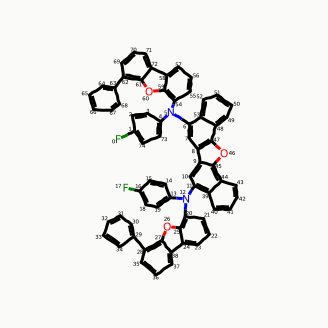 Fc1ccc(N(c2cc3c4cc(N(c5ccc(F)cc5)c5cccc6c5oc5c(-c7ccccc7)cccc56)c5ccccc5c4oc3c3ccccc23)c2cccc3c2oc2c(-c4ccccc4)cccc23)cc1